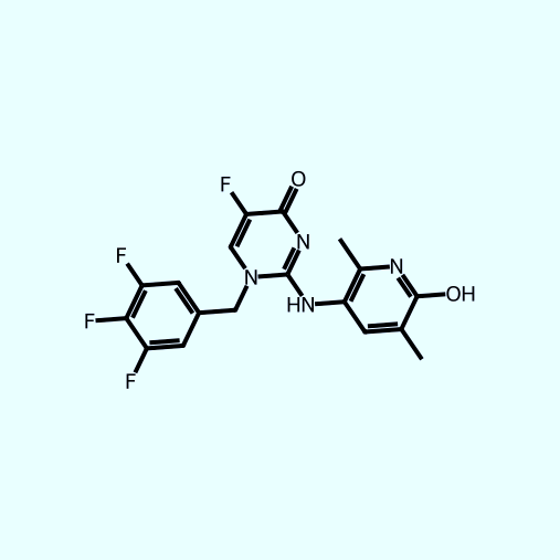 Cc1cc(Nc2nc(=O)c(F)cn2Cc2cc(F)c(F)c(F)c2)c(C)nc1O